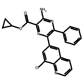 Nc1nc(-c2ccccc2)c(-c2cc(Cl)c3ncccc3c2)nc1C(=O)OC1CC1